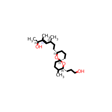 C/C(=C\[C@@H](C)CC[C@@H]1CCC[C@]2(CCC(C)[C@@H](CCCO)O2)O1)[C@H](C)O